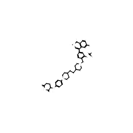 Cn1cc(-c2ccc(CN3CCC(CCC4CCN(c5ccc(NC6CCC(=O)NC6=O)cc5)CC4)CC3)c(OC(F)(F)F)c2)c2cc(F)ccc2c1=O